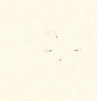 N[C@H]1C[C@@H]2C[C@@H]2[C@H]1N1C(=O)c2ccccc2C1=O